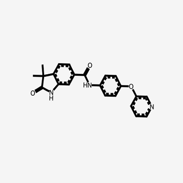 CC1(C)C(=O)Nc2cc(C(=O)Nc3ccc(Oc4cccnc4)cc3)ccc21